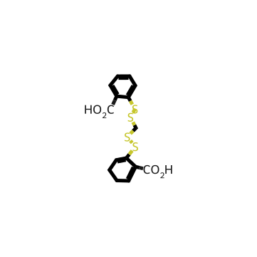 O=C(O)C1=CCCC=C1SSCSSc1ccccc1C(=O)O